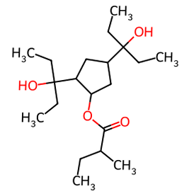 CCC(C)C(=O)OC1CC(C(O)(CC)CC)CC1C(O)(CC)CC